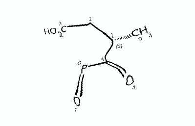 C[C@@H](CC(=O)O)C(=O)P=O